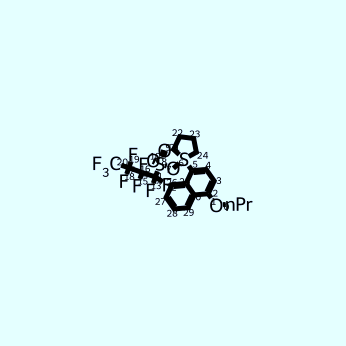 CCCOc1ccc(S2(OS(=O)(=O)C(F)(F)C(F)(F)C(F)(F)C(F)(F)F)CCCC2)c2ccccc12